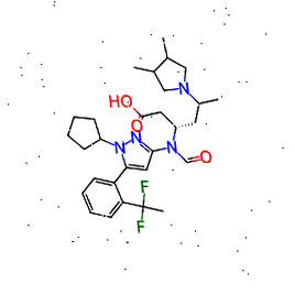 CC1CN(C(C)C[C@@H](CC(=O)O)N(C=O)c2cc(-c3ccccc3C(C)(F)F)n(C3CCCC3)n2)CC1C